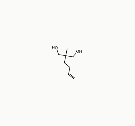 C=CCCC(C)(CO)CO